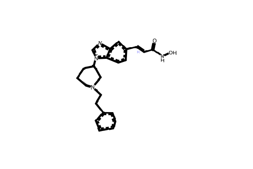 O=C(/C=C/c1ccc2c(c1)ncn2C1CCCN(CCc2ccccc2)C1)NO